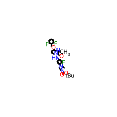 Cc1nc2c(OCc3c(F)cccc3F)cccn2c1C(=O)Nc1ccc(N2CCN(C(=O)OC(C)(C)C)CC2)c(F)c1